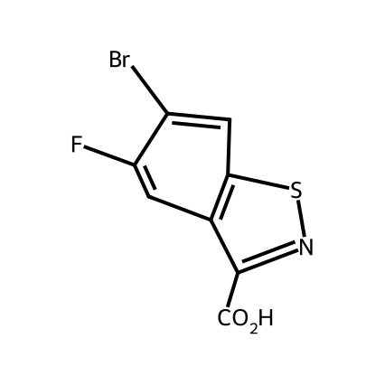 O=C(O)c1nsc2cc(Br)c(F)cc12